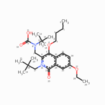 CCCCOc1c(CN(C(=O)O)C(C)(C)C)n(CC(C)(C)C)c(=O)c2cc(OCC)ccc12